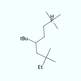 CCC(C)(C)CC(CC[PH](C)(C)C)C(C)(C)C